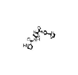 O=C(Nc1cnc(C(=O)N2CC(c3nccs3)C2)s1)[C@@H]1CCCN1